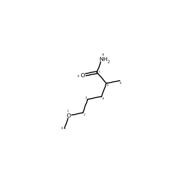 [CH2]OCCCC(C)C(N)=O